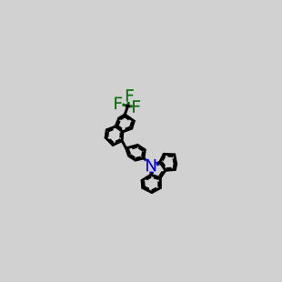 FC(F)(F)c1ccc2c(-c3ccc(-n4c5ccccc5c5ccccc54)cc3)cccc2c1